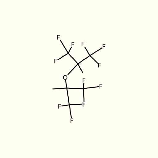 CC(OC(C)(C(F)(F)F)C(F)(F)F)(C(F)(F)F)C(F)(F)F